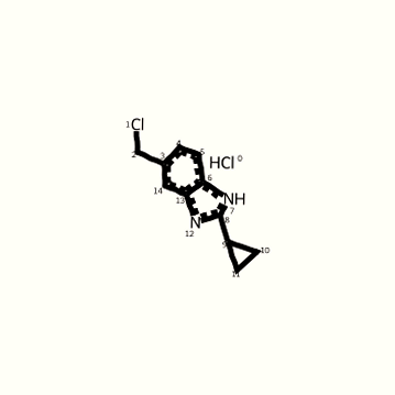 Cl.ClCc1ccc2[nH]c(C3CC3)nc2c1